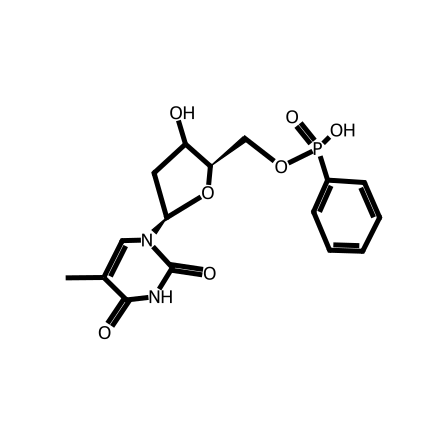 Cc1cn([C@H]2CC(O)[C@@H](COP(=O)(O)c3ccccc3)O2)c(=O)[nH]c1=O